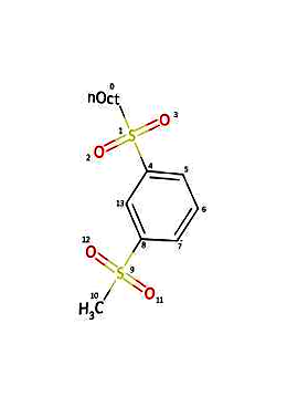 CCCCCCCCS(=O)(=O)c1cc[c]c(S(C)(=O)=O)c1